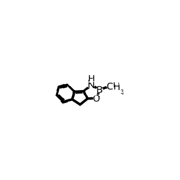 CB1NC2=C3C=CC=CC3CC2O1